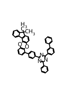 CC1(C)c2ccccc2-c2c1ccc1c2Oc2cccc(-c3ccc(-c4nc(-c5ccccc5)nc(-c5cccc(-c6ccccc6)c5)n4)cc3)c2O1